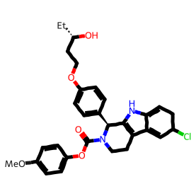 CC[C@H](O)CCOc1ccc([C@H]2c3[nH]c4c(c3CCN2C(=O)Oc2ccc(OC)cc2)=CC(Cl)CC=4)cc1